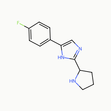 Fc1ccc(-c2cnc(C3CCCN3)[nH]2)cc1